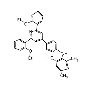 CCOc1ccccc1-c1cc(-c2ccc(Nc3c(C)cc(C)cc3C)cc2)cc(-c2ccccc2OCC)n1